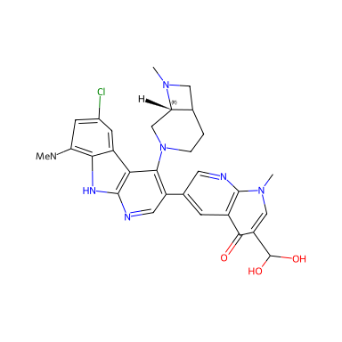 CNc1cc(Cl)cc2c1[nH]c1ncc(-c3cnc4c(c3)c(=O)c(C(O)O)cn4C)c(N3CCC4CN(C)[C@H]4C3)c12